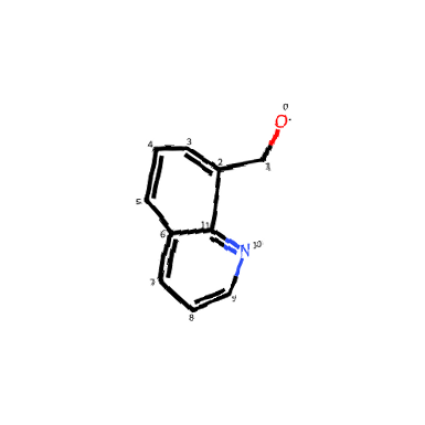 [O]Cc1cccc2cccnc12